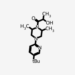 CC(O)C(=O)N1C(C)CN(c2ccc(C(C)(C)C)cn2)CC1C